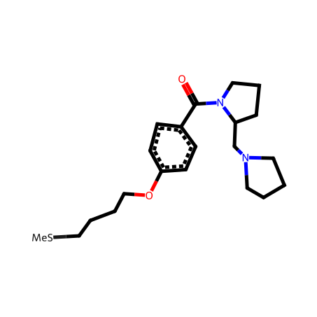 CSCCCCOc1ccc(C(=O)N2CCCC2CN2CCCC2)cc1